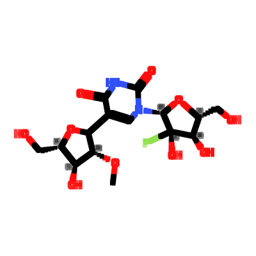 CO[C@H]1C(c2cn([C@@H]3O[C@H](CO)[C@@H](O)[C@]3(O)F)c(=O)[nH]c2=O)O[C@@H](CO)[C@@H]1O